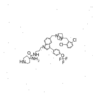 NC1(C(=O)NCCCn2cc(-c3ccc(OC(F)(F)F)cc3)c3cc(CN4CC5CCC4CN5Cc4c(Cl)cccc4Cl)ccc32)CCNCC1